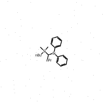 CCCC[Si](C)(C)C(CCC)[Si](c1ccccc1)c1ccccc1